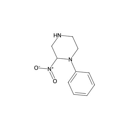 O=[N+]([O-])C1CNCCN1c1ccccc1